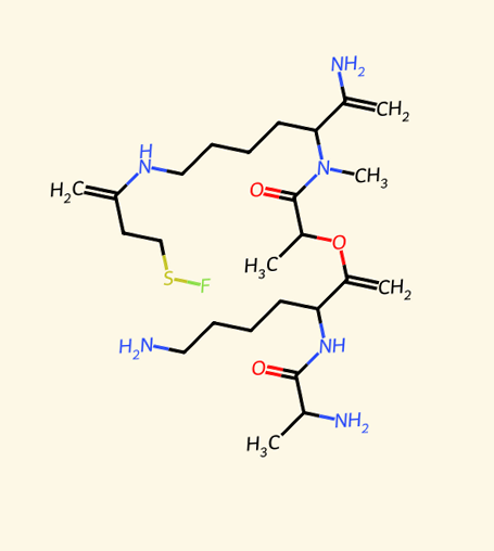 C=C(CCSF)NCCCCC(C(=C)N)N(C)C(=O)C(C)OC(=C)C(CCCCN)NC(=O)C(C)N